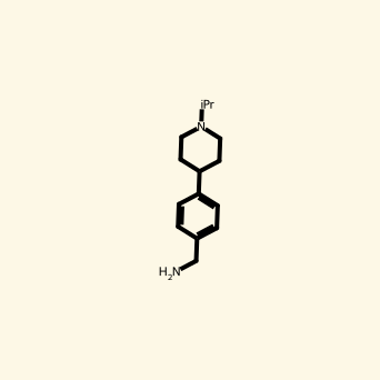 CC(C)N1CCC(c2ccc(CN)cc2)CC1